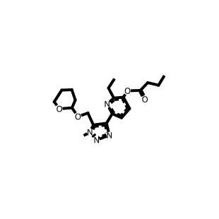 CCCC(=O)Oc1ccc(-c2nnn(C)c2COC2CCCCO2)nc1CC